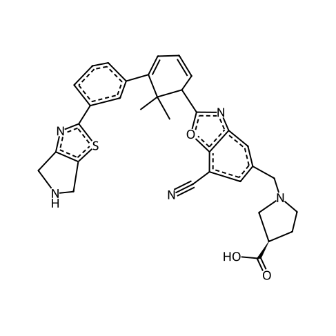 CC1(C)C(c2cccc(-c3nc4c(s3)CNC4)c2)=CC=CC1c1nc2cc(CN3CC[C@@H](C(=O)O)C3)cc(C#N)c2o1